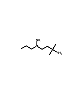 CCCN(N)CCC(C)(C)N